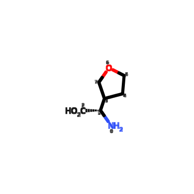 N[C@H](C(=O)O)C1CCOC1